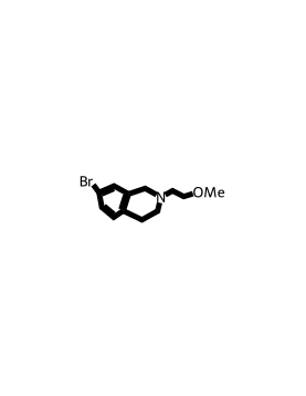 COCCN1CCc2ccc(Br)cc2C1